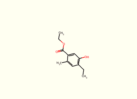 CCOC(=O)c1cc(O)c(CC)cc1C